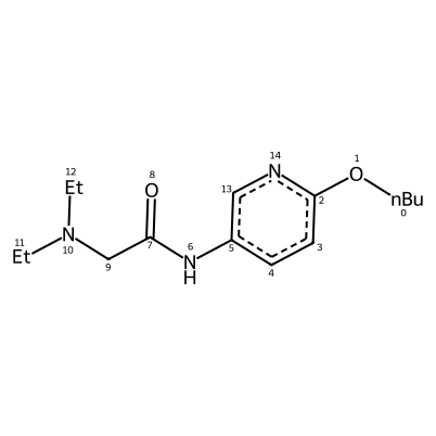 CCCCOc1ccc(NC(=O)CN(CC)CC)cn1